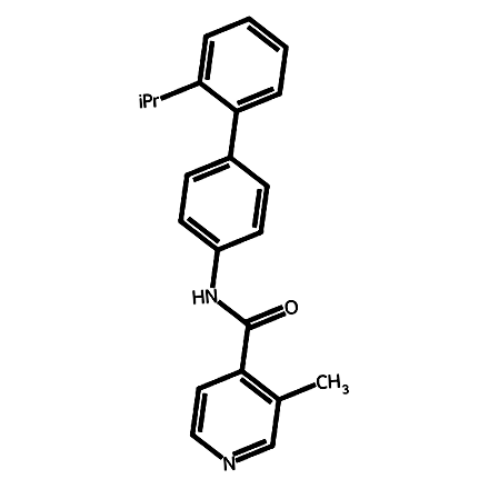 Cc1cnccc1C(=O)Nc1ccc(-c2ccccc2C(C)C)cc1